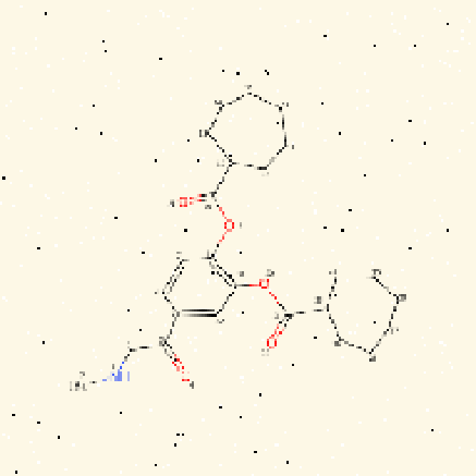 CC(C)(C)NCC(=O)c1ccc(OC(=O)C2CCCCCC2)c(OC(=O)C2CCCCCC2)c1